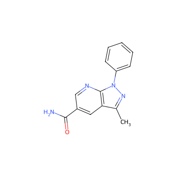 Cc1nn(-c2ccccc2)c2ncc(C(N)=O)cc12